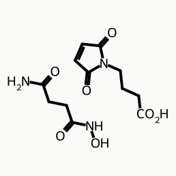 NC(=O)CCC(=O)NO.O=C(O)CCCN1C(=O)C=CC1=O